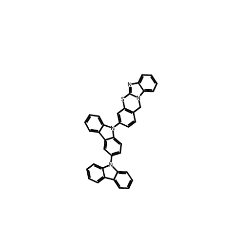 c1ccc2c(c1)nc1n2Cc2ccc(-n3c4ccccc4c4cc(-n5c6ccccc6c6ccccc65)ccc43)cc2S1